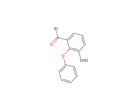 CCC(=O)c1cccc(C=O)c1Oc1ccccc1